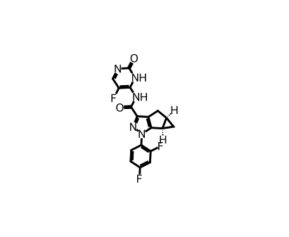 O=C(Nc1[nH]c(=O)ncc1F)c1nn(-c2ccc(F)cc2F)c2c1C[C@H]1C[C@@H]21